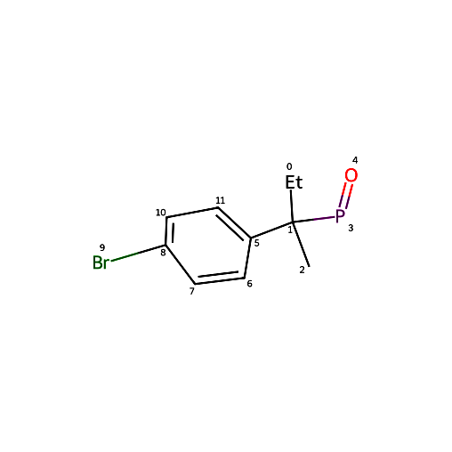 CCC(C)(P=O)c1ccc(Br)cc1